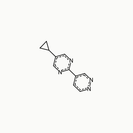 c1cc(-c2ncc(C3CC3)cn2)cnn1